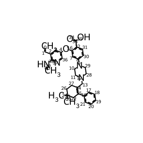 C=Cc1cc(Oc2cc(N3CCN(CC4=C(c5ccccc5)CC(C)(C)CC4)CC3)ccc2C(=O)O)cnc1NC